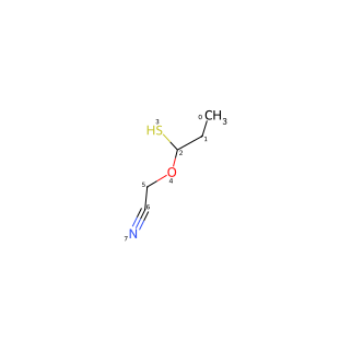 CCC(S)OCC#N